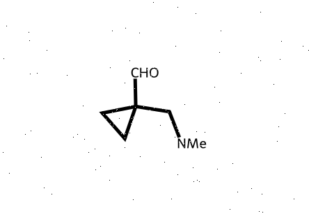 CNCC1(C=O)CC1